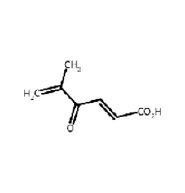 C=C(C)C(=O)C=CC(=O)O